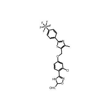 Cc1nc(-c2ccc(S(F)(F)(F)(F)F)cc2)sc1COc1ccc(C2=NOC(C=O)N2)c(Cl)c1